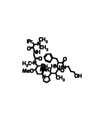 CCC(C)C(C(CC(=O)N1CCCC1C(OC)C(C)C(=O)NC(Cc1ccccc1)C(=O)NCCCO)OC)N(C)C(=O)CNC(=O)C(C(C)C)N(C)C